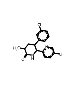 CC1CC(c2cccc(Cl)c2)C(c2ccc(Cl)cn2)NC1=O